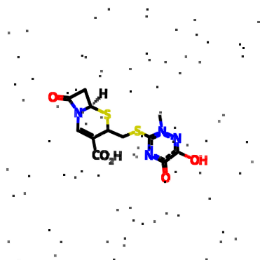 Cn1nc(O)c(=O)nc1SCC1S[C@@H]2CC(=O)N2C=C1C(=O)O